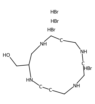 Br.Br.Br.Br.OCC1CNCCCNCCNCCCN1